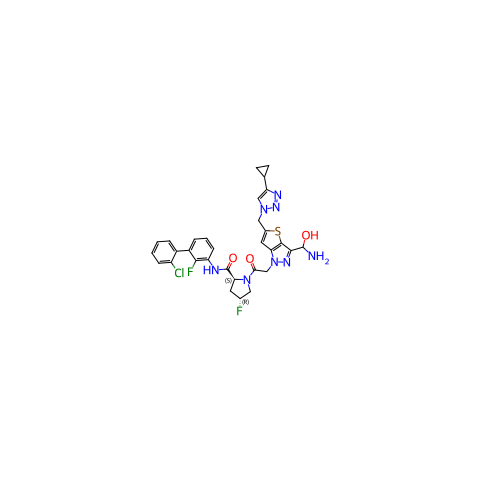 NC(O)c1nn(CC(=O)N2C[C@H](F)C[C@H]2C(=O)Nc2cccc(-c3ccccc3Cl)c2F)c2cc(Cn3cc(C4CC4)nn3)sc12